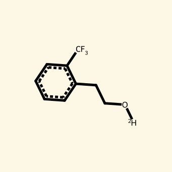 [2H]OCCc1ccccc1C(F)(F)F